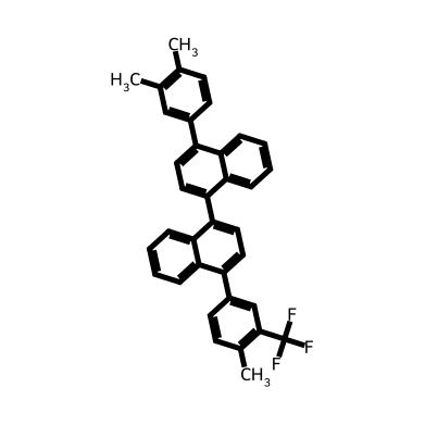 Cc1ccc(-c2ccc(-c3ccc(-c4ccc(C)c(C(F)(F)F)c4)c4ccccc34)c3ccccc23)cc1C